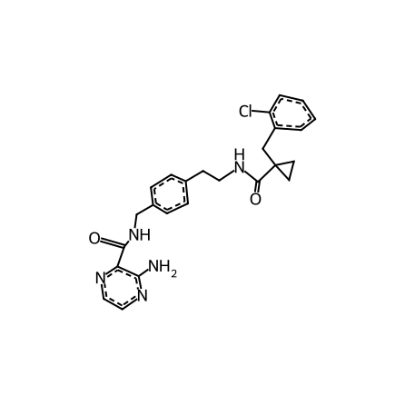 Nc1nccnc1C(=O)NCc1ccc(CCNC(=O)C2(Cc3ccccc3Cl)CC2)cc1